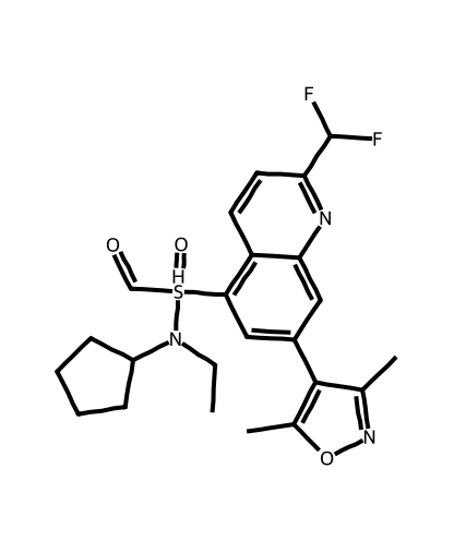 CCN(C1CCCC1)[SH](=O)(C=O)c1cc(-c2c(C)noc2C)cc2nc(C(F)F)ccc12